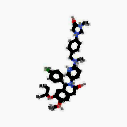 CCC(C)Oc1cc2c(cc1OC)CC(=O)N(c1ccc(N(C)CC3CCC(N4CC(=O)N(C)C4)CC3)nc1)[C@H]2c1ccc(Cl)cc1